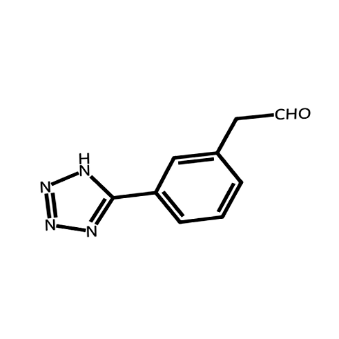 O=CCc1cccc(-c2nnn[nH]2)c1